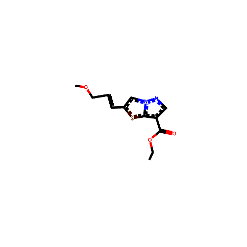 CCOC(=O)c1cnn2cc(/C=C/COC)sc12